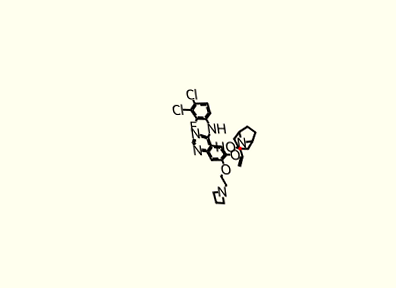 C=CC(O)N1C2CCC1CC(Oc1cc3c(Nc4ccc(Cl)c(Cl)c4F)ncnc3cc1OCCN1CCC1)C2